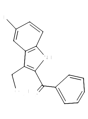 O=C(O)Cc1c(C(=O)c2ccccc2)[nH]c2ccc(F)cc12